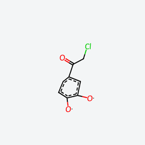 [O]c1ccc(C(=O)CCl)cc1[O]